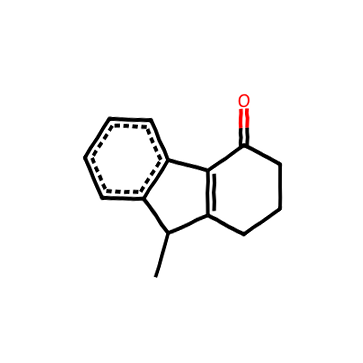 CC1C2=C(C(=O)CCC2)c2ccccc21